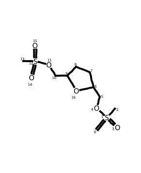 C=S(C)(=O)OCC1CCC(COS(C)(=O)=O)O1